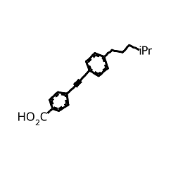 CC(C)CCCc1ccc(C#Cc2ccc(C(=O)O)cc2)cc1